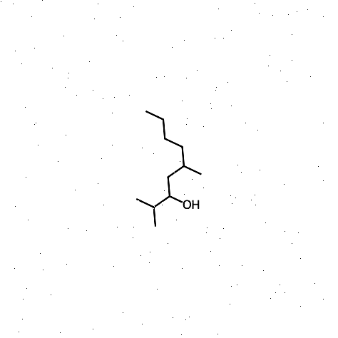 CCCCC(C)CC(O)C(C)C